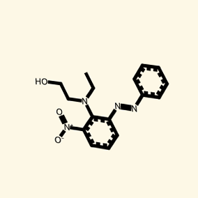 CCN(CCO)c1c(N=Nc2ccccc2)cccc1[N+](=O)[O-]